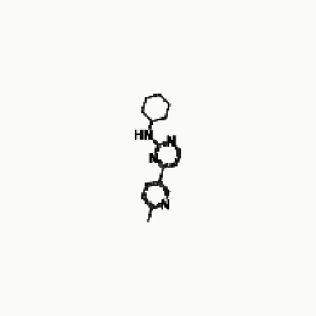 Cc1ccc(-c2ccnc(NC3CCCCC3)n2)cn1